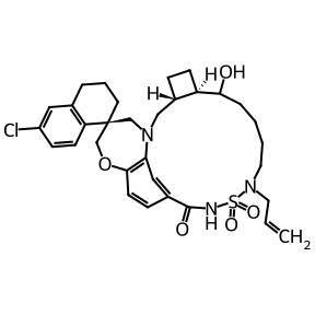 C=CCN1CCCCC(O)[C@@H]2CC[C@H]2CN2C[C@@]3(CCCc4cc(Cl)ccc43)COc3ccc(cc32)C(=O)NS1(=O)=O